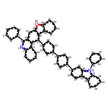 c1ccc(-c2nc3ccccc3c3c(-c4ccc(-c5ccc(-c6ccc7c8ccccc8n(-c8ccccc8)c7c6)cc5)cc4)c4c(cc23)oc2ccccc24)cc1